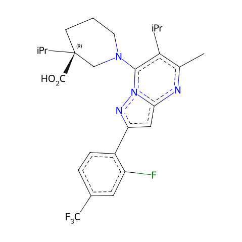 Cc1nc2cc(-c3ccc(C(F)(F)F)cc3F)nn2c(N2CCC[C@@](C(=O)O)(C(C)C)C2)c1C(C)C